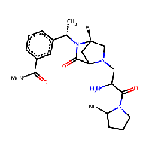 CNC(=O)c1cccc([C@H](C)N2C(=O)C3C[C@H]2CN3CC(N)C(=O)N2CCCC2C#N)c1